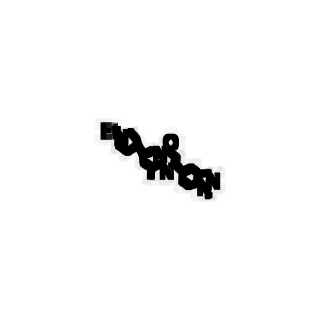 CCN1CCC(c2cc(C)c3nc(-c4ccc5c(cnn5C)c4)cc(=O)n3c2)CC1